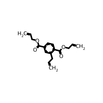 C=CCOC(=O)c1ccc(C(=O)OCC=C)c(CC=C)c1